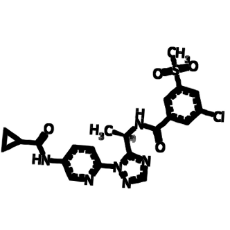 C[C@@H](NC(=O)c1cc(Cl)cc(S(C)(=O)=O)c1)c1ncnn1-c1ccc(NC(=O)C2CC2)cn1